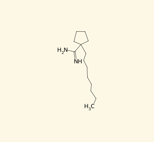 CCCCCCCCC1(C(=N)N)CCCC1